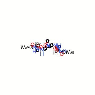 COC(=O)N[C@H](C(=O)N1CCC[C@H]1C(=O)Nc1ccc2c(c1)O[C@H](c1ccccc1)n1c-2cc2cc(NC(=O)[C@@H]3CCCN3C(=O)[C@@H](NC(=O)OC)C(C)C)ccc21)C(C)C